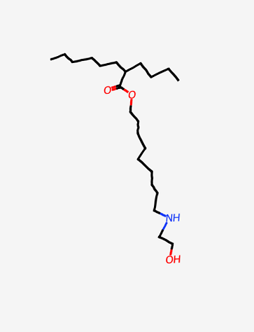 CCCCCCC(CCCC)C(=O)OCCCCCCCCCNCCO